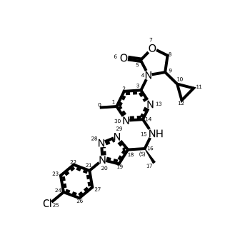 Cc1cc(N2C(=O)OCC2C2CC2)nc(N[C@@H](C)c2cn(-c3ccc(Cl)cc3)nn2)n1